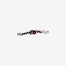 CC1(/C=C/CCCCCCC#N)CCc2cc(OCCCC(=O)O)ccc2O1